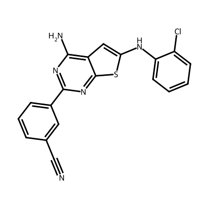 N#Cc1cccc(-c2nc(N)c3cc(Nc4ccccc4Cl)sc3n2)c1